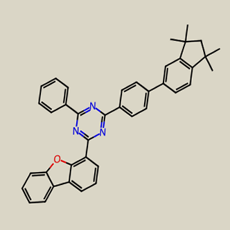 CC1(C)CC(C)(C)c2cc(-c3ccc(-c4nc(-c5ccccc5)nc(-c5cccc6c5oc5ccccc56)n4)cc3)ccc21